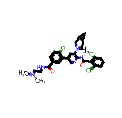 CN(C)CCNC(=O)c1ccc(Cl)c(-c2cnc(N(C)C(=O)c3c(F)cccc3Cl)c(N3CC4CC4C3)c2)c1